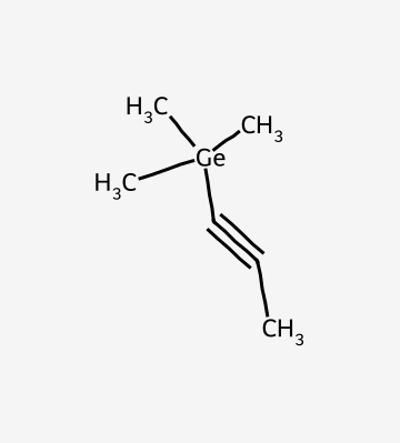 CC#[C][Ge]([CH3])([CH3])[CH3]